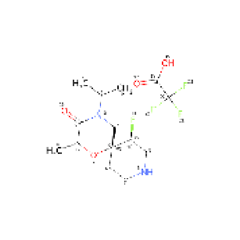 CC(C)N1C[C@@]2(CCNC[C@@H]2F)O[C@H](C)C1=O.O=C(O)C(F)(F)F